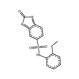 CCc1ccccc1NS(=O)(=O)c1ccc2c(c1)=NC(=O)N=2